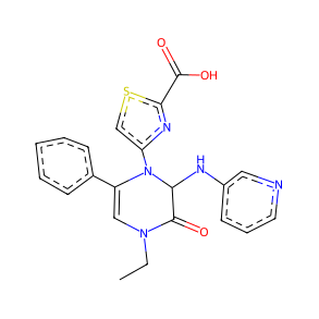 CCN1C=C(c2ccccc2)N(c2csc(C(=O)O)n2)C(Nc2cccnc2)C1=O